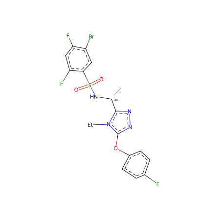 CCn1c(Oc2ccc(F)cc2)nnc1[C@@H](C)NS(=O)(=O)c1cc(Br)c(F)cc1F